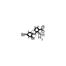 Nc1c(Cc2ccc(Br)cc2Br)cccc1C(=O)O